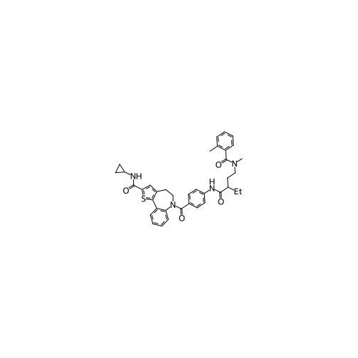 CCC(CCN(C)C(=O)c1ccccc1C)C(=O)Nc1ccc(C(=O)N2CCc3cc(C(=O)NC4CC4)sc3-c3ccccc32)cc1